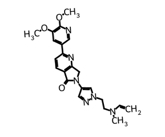 C=CN(C)CCn1cc(N2Cc3nc(-c4cnc(OC)c(OC)c4)ccc3C2=O)cn1